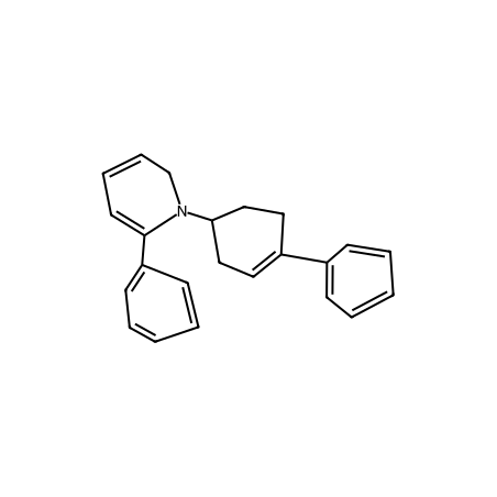 C1=CCN(C2CC=C(c3ccccc3)CC2)C(c2ccccc2)=C1